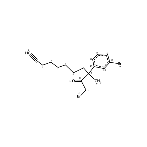 C#CCCCCCCC(C)(C(=O)CBr)c1cccc(Br)c1